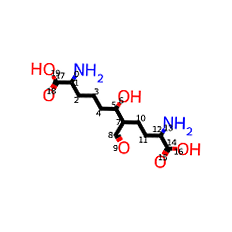 NC(CCCC(O)C(C=O)CCC(N)C(=O)O)C(=O)O